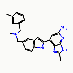 Cc1cccc(CN(C)Cc2ccc3[nH]c(-c4cc(N)nc5[nH]c(C)nc45)cc3c2)c1